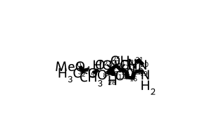 COC(C)(C)COC(=O)OC1[C@H]2O[C@@](C)(c3ccc4c(N)ncnn34)[C@H](O)[C@@]12O